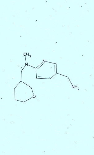 CN(CC1CCCOC1)c1ccc(CN)cn1